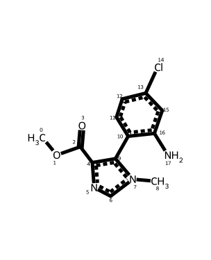 COC(=O)c1ncn(C)c1-c1ccc(Cl)cc1N